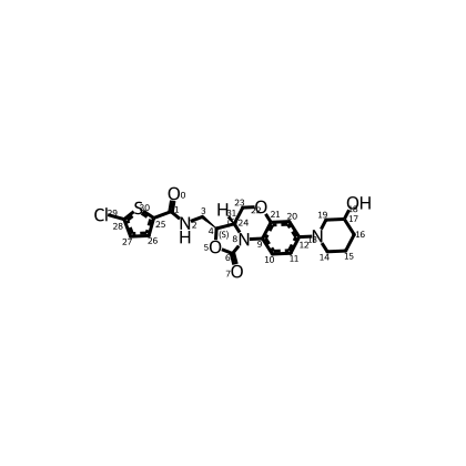 O=C(NC[C@@H]1OC(=O)N2c3ccc(N4CCCC(O)C4)cc3OC[C@@H]12)c1ccc(Cl)s1